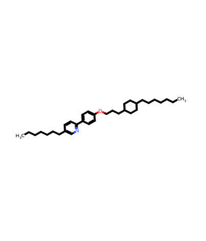 CCCCCCCc1ccc(-c2ccc(OCCCC3CCC(CCCCCCC)CC3)cc2)nc1